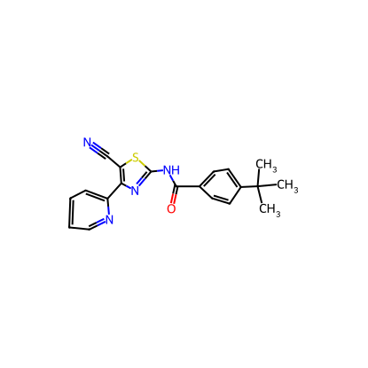 CC(C)(C)c1ccc(C(=O)Nc2nc(-c3ccccn3)c(C#N)s2)cc1